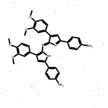 COc1ccc(C2=CC(c3ccc(N)cc3)=NC2=Nc2[nH]c(-c3ccc(N)cc3)cc2-c2ccc(OC)c(OC)c2)cc1OC